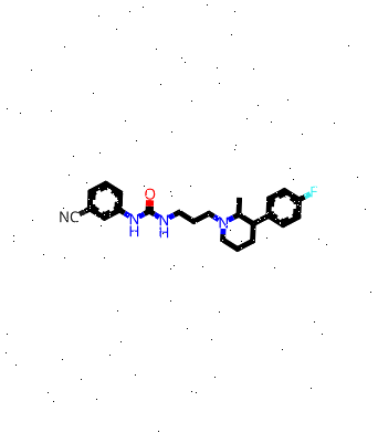 CC1C(c2ccc(F)cc2)CCCN1CCCNC(=O)Nc1cccc(C#N)c1